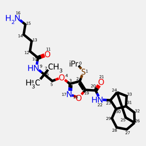 CC(C)Sc1c(OCC(C)(C)NC(=O)CCCCN)noc1C(=O)NC1C2CC3CCCC1C(C3)C2